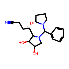 N#CCC[C@H](O)C1C(O)C(O)CN1C(c1ccccc1)N1CCCC1